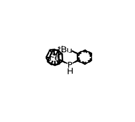 CC(C)(C)c1ccccc1P[C]12[CH]3[CH]4[CH]5[CH]1[Fe]45321678[CH]2[CH]1[CH]6[CH]7[CH]28